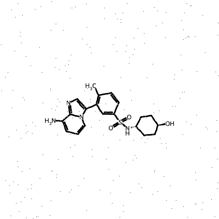 Cc1ccc(S(=O)(=O)N[C@H]2CC[C@H](O)CC2)cc1-c1cnc2c(N)cccn12